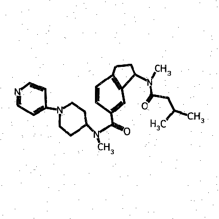 CC(C)CC(=O)N(C)C1CCc2ccc(C(=O)N(C)C3CCN(c4ccncc4)CC3)cc21